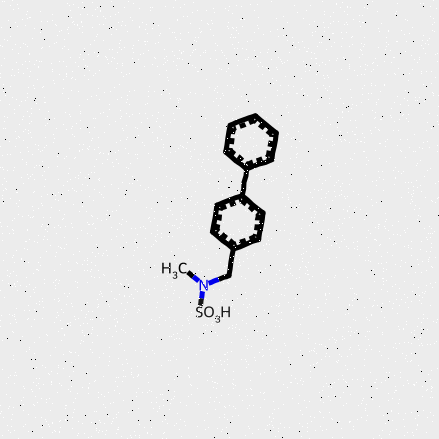 CN(Cc1ccc(-c2ccccc2)cc1)S(=O)(=O)O